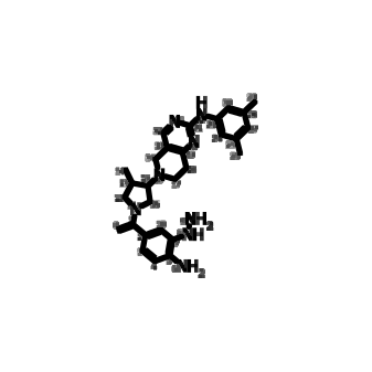 C=C(c1ccc(N)c(NN)c1)N1CC(C)C(N2CCc3nc(Nc4cc(C)cc(C)c4)ncc3C2)C1